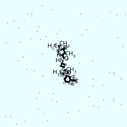 Cc1c(C(=O)N[C@H]2C[C@@H](C(C)(C)S(=O)(=O)c3cccc(C(F)(F)F)c3)C2)ncn(C(C)C)c1=O